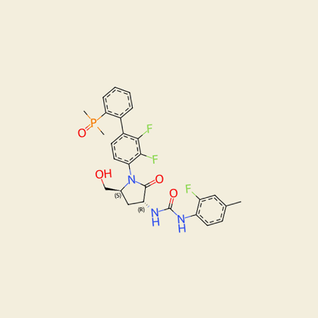 Cc1ccc(NC(=O)N[C@@H]2C[C@@H](CO)N(c3ccc(-c4ccccc4P(C)(C)=O)c(F)c3F)C2=O)c(F)c1